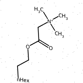 CCCCCCCCOC(=O)C[N+](C)(C)C